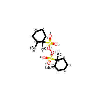 CC(=O)C1(S(=O)(=O)OOS(=O)(=O)C2(C(C)=O)CCCCC2C(C)(C)C)CCCCC1C(C)(C)C